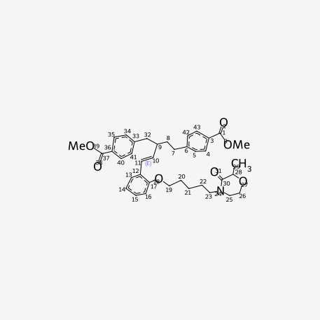 COC(=O)c1ccc(CCC(/C=C/c2ccccc2OCCCCCN2CCOC(C)C2=O)Cc2ccc(C(=O)OC)cc2)cc1